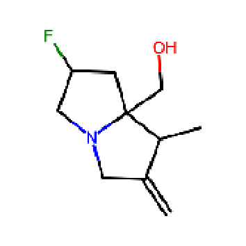 C=C1CN2CC(F)CC2(CO)C1C